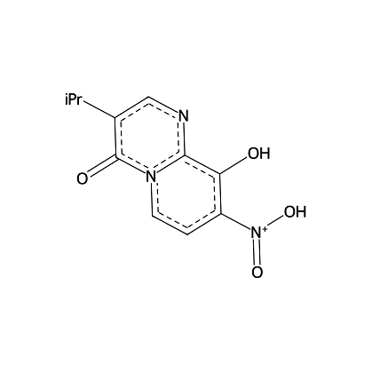 CC(C)c1cnc2c(O)c([N+](=O)O)ccn2c1=O